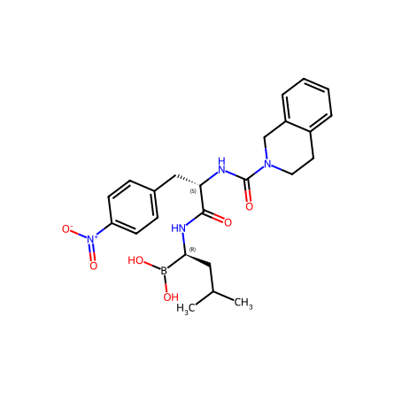 CC(C)C[C@H](NC(=O)[C@H](Cc1ccc([N+](=O)[O-])cc1)NC(=O)N1CCc2ccccc2C1)B(O)O